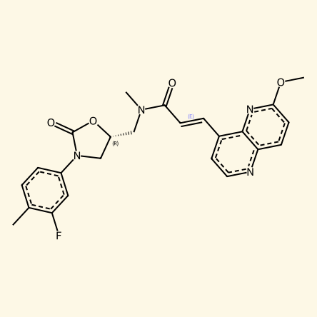 COc1ccc2nccc(/C=C/C(=O)N(C)C[C@@H]3CN(c4ccc(C)c(F)c4)C(=O)O3)c2n1